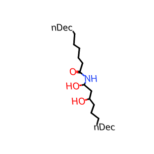 CCCCCCCCCCCCCCCC(=O)NC(O)CC(O)CCCCCCCCCCCCC